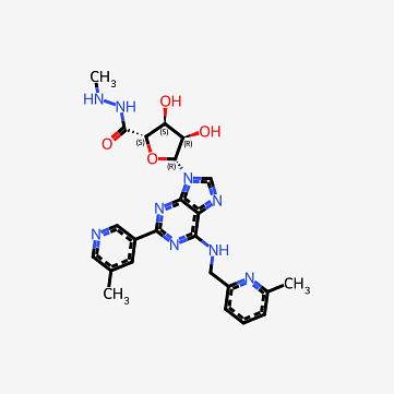 CNNC(=O)[C@H]1O[C@@H](n2cnc3c(NCc4cccc(C)n4)nc(-c4cncc(C)c4)nc32)[C@H](O)[C@@H]1O